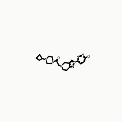 O=C(CN1CCc2nn(-c3ccc(Cl)nn3)cc2C1)N1CCN(C2CCC2)CC1